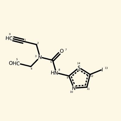 C#CCN(CC=O)C(=O)Nc1ncc(I)s1